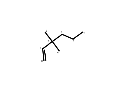 C=CC(C)(C)C[CH]C